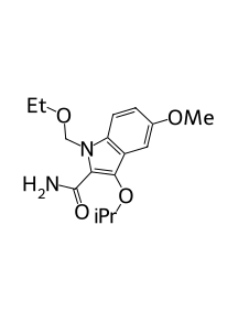 CCOCn1c(C(N)=O)c(OC(C)C)c2cc(OC)ccc21